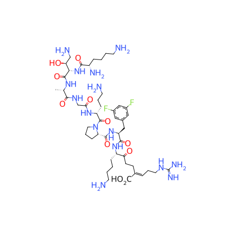 C[C@H](NC(=O)[C@@H](NC(=O)[C@@H](N)CCCCN)[C@@H](O)CN)C(=O)NCC(=O)N[C@H](CCCN)C(=O)N1CCC[C@H]1C(=O)N[C@@H](Cc1cc(F)cc(F)c1)C(=O)N[C@@H](CCCCN)C(=O)CC/C(=C\CCNC(=N)N)C(=O)O